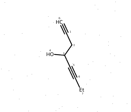 C#CCC(O)C#CCC